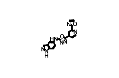 c1cc(-c2nnc(Nc3ccc4[nH]ncc4c3)o2)cc(-c2ncco2)n1